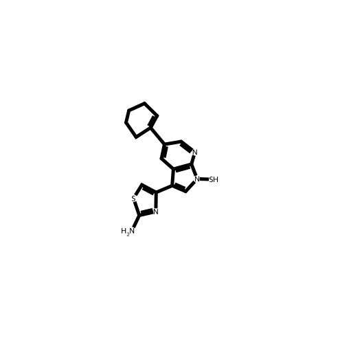 Nc1nc(-c2cn(S)c3ncc(C4=CCCCC4)cc23)cs1